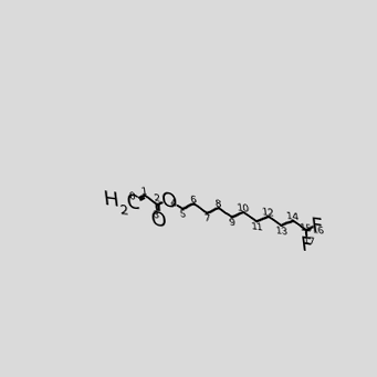 C=CC(=O)OCCCCCCCCCCC(F)F